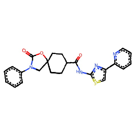 O=C(Nc1nc(-c2ccccn2)cs1)C1CCC2(CC1)CN(c1ccccc1)C(=O)O2